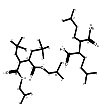 CC(C)CCC(C(=O)O)C(CCC(C)C)C(=O)O.CC(C)COC(=O)C(CC(C)(C)C)C(CC(C)(C)C)C(=O)OCC(C)C